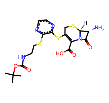 CC(C)(C)OC(=O)NCCSc1nccnc1SC1=C(C(=O)O)N2C(=O)[C@@H](N)[C@@H]2SC1